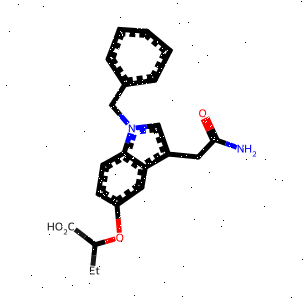 CCC(Oc1ccc2c(c1)c(CC(N)=O)cn2Cc1ccccc1)C(=O)O